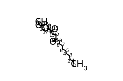 CCCCCCCCCCC(=O)CCC(=O)c1ccc(OC)cc1